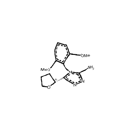 COc1cccc(OC)c1-n1c(N)nnc1[C@H]1CCCO1